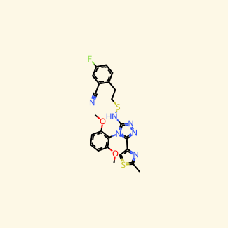 COc1cccc(OC)c1-n1c(NSCCc2ccc(F)cc2C#N)nnc1-c1csc(C)n1